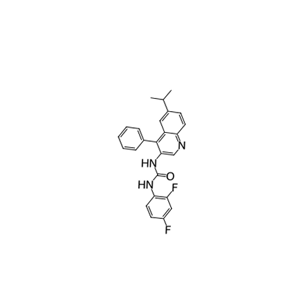 CC(C)c1ccc2ncc(NC(=O)Nc3ccc(F)cc3F)c(-c3ccccc3)c2c1